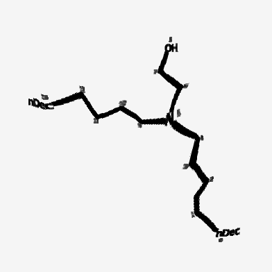 CCCCCCCCCCCCCCN(CCO)CCCCCCCCCCCCCC